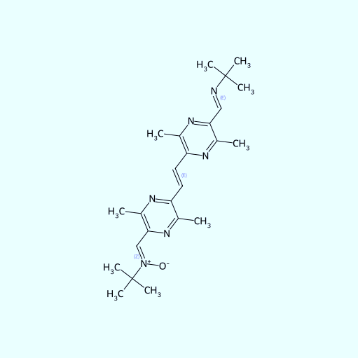 Cc1nc(/C=C/c2nc(C)c(/C=N/C(C)(C)C)nc2C)c(C)nc1/C=[N+](\[O-])C(C)(C)C